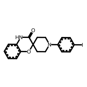 O=C1Nc2ccccc2OC12CCN(c1ccc(I)cc1)CC2